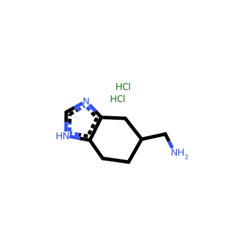 Cl.Cl.NCC1CCc2[nH]cnc2C1